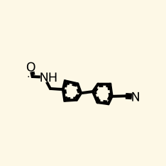 N#Cc1ccc(-c2ccc(CN[C]=O)cc2)cc1